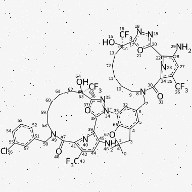 CC1(C)Cc2cc(CN3CCCCC[C@](O)(C(F)(F)F)c4nnc(o4)-c4nc(c(C(F)(F)F)cc4N)C3=O)cc(-[n+]3nc4oc3-c3nc(c(C(F)(F)F)cc3N)C(=O)N(Cc3cccc(Cl)c3)CCCCC[C@]4(O)C(F)(F)F)c2O1